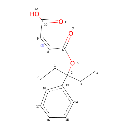 CCC(CC)(OC(=O)/C=C\C(=O)O)c1ccccc1